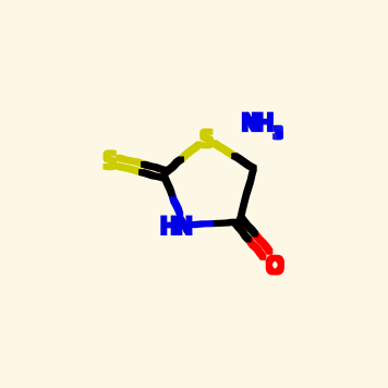 N.O=C1CSC(=S)N1